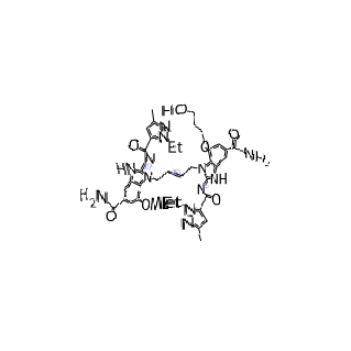 CCn1nc(C)cc1C(=O)/N=c1\[nH]c2cc(C(N)=O)cc(OC)c2n1C/C=C/Cn1/c(=N/C(=O)c2cc(C)nn2CC)[nH]c2cc(C(N)=O)cc(OCCCO)c21